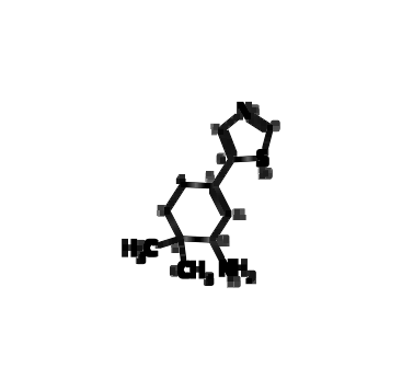 CC1(C)CCC(c2cncs2)=CC1N